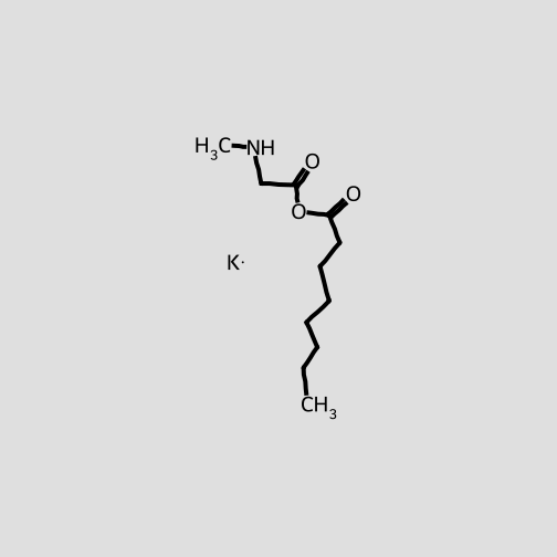 CCCCCCCC(=O)OC(=O)CNC.[K]